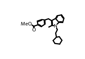 COC(=O)c1ccc(Cc2c(C)n(CCC3CCCCC3)c3ccccc23)cc1